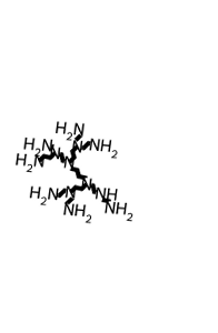 NCCNCCN(CCCCN(CCN(CN)CCN)CCN(CCN)CCN)CCN(CCN)CCN